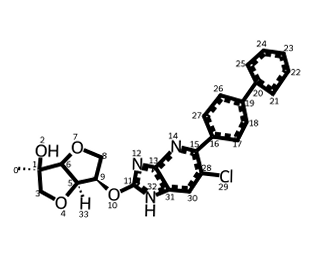 C[C@@]1(O)CO[C@H]2C1OC[C@H]2Oc1nc2nc(-c3ccc(-c4ccccc4)cc3)c(Cl)cc2[nH]1